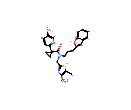 CCOC(=O)c1nc(CN(CCCc2cc3ccccc3o2)C(=O)C2(c3ccc(OC)cn3)CC2)sc1C